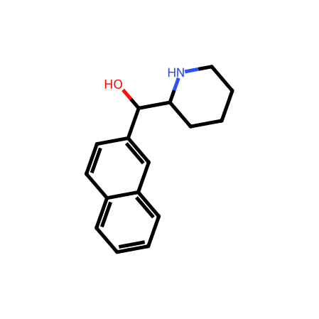 OC(c1ccc2ccccc2c1)C1CCCCN1